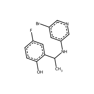 CC(Nc1cncc(Br)c1)c1cc(F)ccc1O